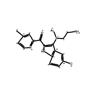 CC(=O)N(CCN)c1c(C(=O)c2cc(C)ccn2)[nH]c2ccc(Cl)cc12